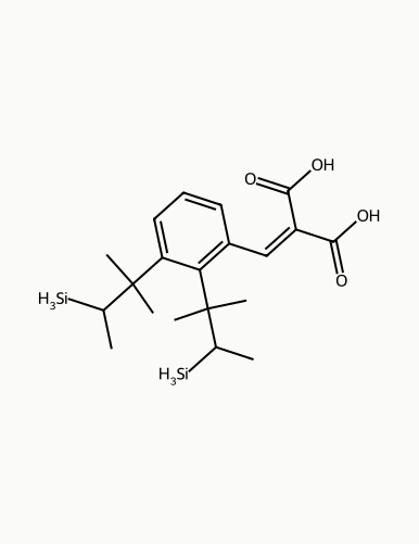 CC([SiH3])C(C)(C)c1cccc(C=C(C(=O)O)C(=O)O)c1C(C)(C)C(C)[SiH3]